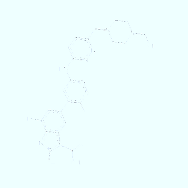 CCN1CCN(Cc2ccc(Nc3cc(-c4cc(F)c5nc(C)n(C(C)C)c5c4)c(F)cn3)nn2)CC1